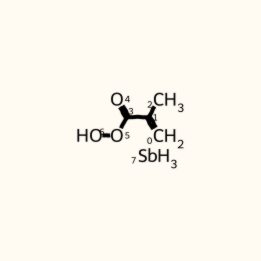 C=C(C)C(=O)OO.[SbH3]